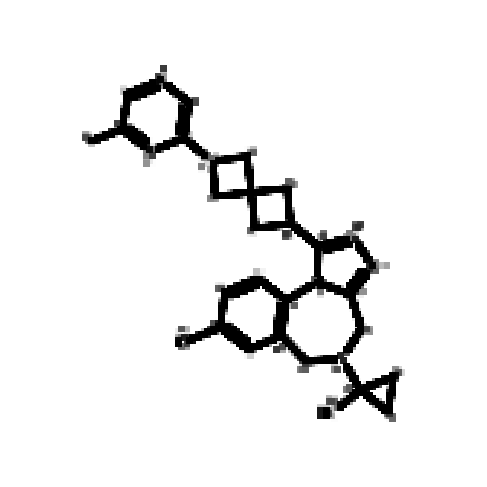 Cc1cncc(N2CC3(CC(c4nnc5n4-c4ccc(Cl)cc4CN(C4(C#N)CC4)C5)C3)C2)n1